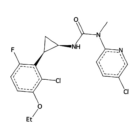 CCOc1ccc(F)c([C@H]2C[C@H]2NC(=O)N(C)c2ccc(Cl)cn2)c1Cl